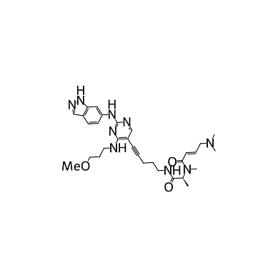 COCCCNc1nc(Nc2ccc3cn[nH]c3c2)ncc1C#CCCCNC(=O)[C@H](C)N(C)C(=O)/C=C/CN(C)C